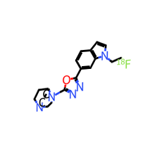 [18F]CCn1ccc2ccc(-c3nnc(N4CCN5CCC4CC5)o3)cc21